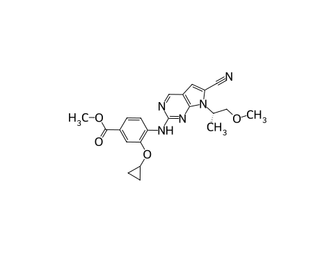 COC[C@H](C)n1c(C#N)cc2cnc(Nc3ccc(C(=O)OC)cc3OC3CC3)nc21